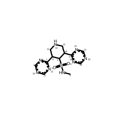 CNS(=O)(=O)C1C(c2ncncn2)CNCC1c1ncncn1